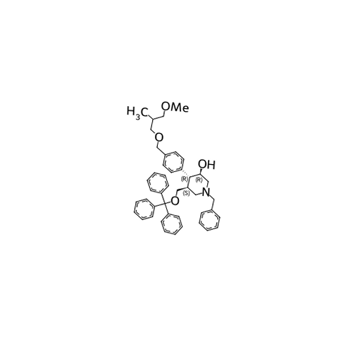 COCC(C)COCc1ccc([C@H]2[C@H](COC(c3ccccc3)(c3ccccc3)c3ccccc3)CN(Cc3ccccc3)C[C@@H]2O)cc1